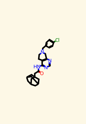 O=C(CC12CC3CC(CC(C3)C1)C2)Nc1ncnc2c1CCN(Cc1ccc(Cl)cc1)C2